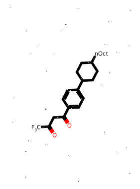 CCCCCCCCC1CCC(c2ccc(C(=O)CC(=O)C(F)(F)F)cc2)CC1